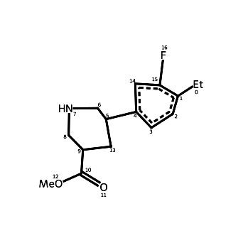 CCc1ccc(C2CNCC(C(=O)OC)C2)cc1F